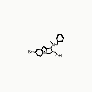 CN(Cc1ccccc1)C1c2cc3cc(Br)ccc3n2CC1CO